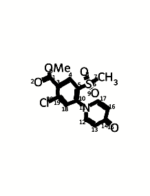 COC(=O)c1cc(S(C)(=O)=O)c(-n2ccc(=O)cc2)cc1Cl